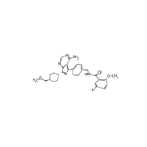 COC[C@H]1CC[C@H](c2nc(-c3ccc(CNC(=O)c4cc(F)ccc4OC)cc3)c3c(N)ncnn32)CC1